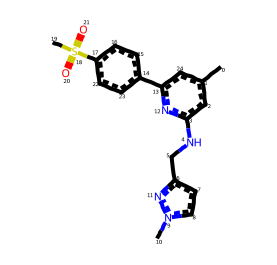 Cc1cc(NCc2ccn(C)n2)nc(-c2ccc(S(C)(=O)=O)cc2)c1